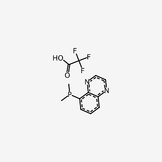 CP(C)c1cccc2nccnc12.O=C(O)C(F)(F)F